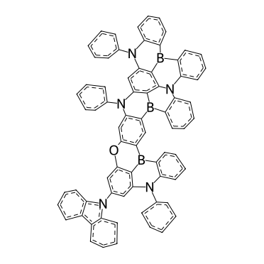 c1ccc(N2c3ccccc3B3c4cc5c(cc4Oc4cc(-n6c7ccccc7c7ccccc76)cc2c43)N(c2ccccc2)c2cc3c4c6c2B5c2ccccc2N6c2ccccc2B4c2ccccc2N3c2ccccc2)cc1